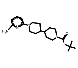 CC(C)(C)OC(=O)N1CCC(C2CCN(c3cccc(N)n3)CC2)CC1